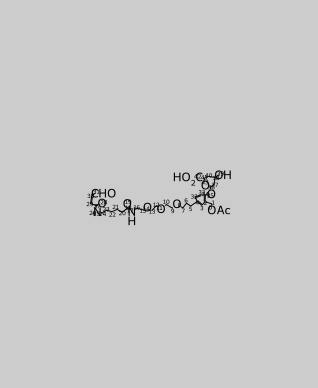 CC(=O)OCc1cc(CCCOCCOCCOCCNC(=O)CCCCCN(C)C(=O)/C=C\C=O)ccc1OC1CC(O)CC(C(=O)O)O1